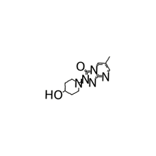 Cc1cnc2nn(N3CCC(O)CC3)c(=O)n2c1